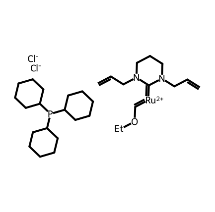 C1CCC(P(C2CCCCC2)C2CCCCC2)CC1.C=CCN1CCCN(CC=C)[C]1=[Ru+2]=[CH]OCC.[Cl-].[Cl-]